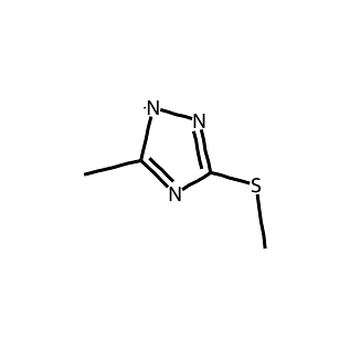 CSC1=N[N]C(C)=N1